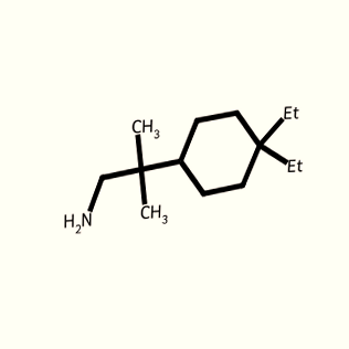 CCC1(CC)CCC(C(C)(C)CN)CC1